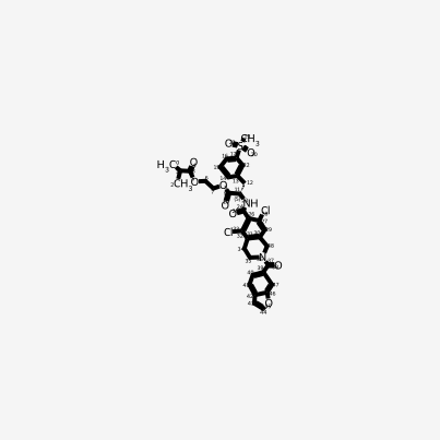 CC(C)C(=O)OCCOC(=O)[C@H](Cc1cccc(S(C)(=O)=O)c1)NC(=O)c1c(Cl)cc2c(c1Cl)CCN(C(=O)c1ccc3ccoc3c1)C2